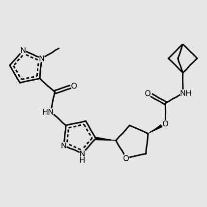 Cn1nccc1C(=O)Nc1cc([C@H]2C[C@@H](OC(=O)NC34CC(C3)C4)CO2)[nH]n1